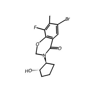 Cc1c(Br)cc2c(c1F)OCN([C@H]1CCC[C@@H]1O)C2=O